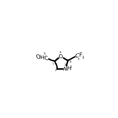 O=CC1CNC(C(F)(F)F)O1